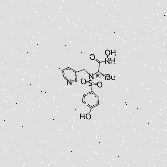 CCC(C)[C@H](C(=O)NO)N(Cc1cccnc1)S(=O)(=O)c1ccc(O)cc1